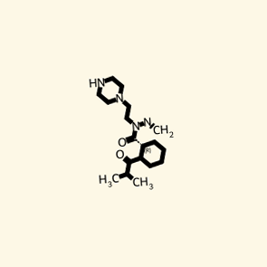 C=NN(CCN1CCNCC1)C(=O)[C@@H]1CCCCC1C(=O)C(C)C